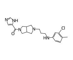 Cc1ccc(NCCCN2CC3CN(C(=O)c4cnc[nH]4)CC3C2)cc1Cl